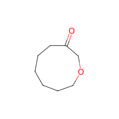 O=C1CCCCCCOC1